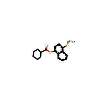 CCCCCCSc1ccc(OC(=O)C2CCCCC2)c2ccccc12